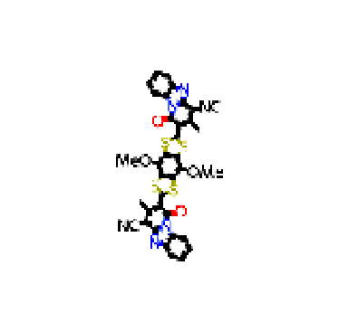 [C-]#[N+]c1c(C)c(=C2Sc3c(OC)c4c(c(OC)c3S2)SC(=c2c(C)c(C#N)c3nc5ccccc5n3c2=O)S4)c(=O)n2c1nc1ccccc12